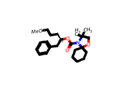 COCCC[C@H](Cc1ccccc1)OC(=O)N1C(C)(C)COC12CCCCC2